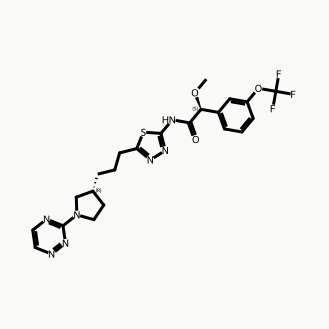 CO[C@H](C(=O)Nc1nnc(CCC[C@@H]2CCN(c3nccnn3)C2)s1)c1cccc(OC(F)(F)F)c1